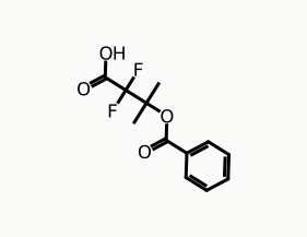 CC(C)(OC(=O)c1ccccc1)C(F)(F)C(=O)O